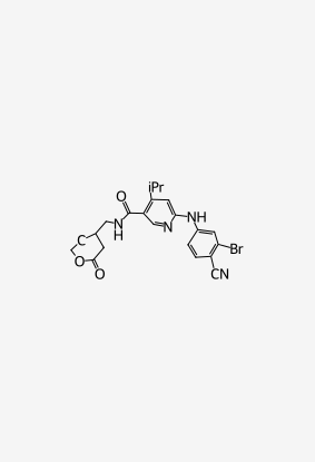 CC(C)c1cc(Nc2ccc(C#N)c(Br)c2)ncc1C(=O)NCC1CCOC(=O)C1